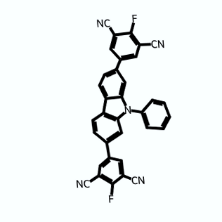 N#Cc1cc(-c2ccc3c4ccc(-c5cc(C#N)c(F)c(C#N)c5)cc4n(-c4ccccc4)c3c2)cc(C#N)c1F